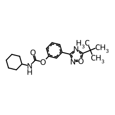 CC(C)(C)c1nc(-c2cccc(OC(=O)NC3CCCCC3)c2)no1